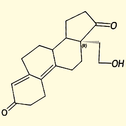 O=C1C=C2CCC3C(=C2CC1)CC[C@]1(CCO)C(=O)CCC31